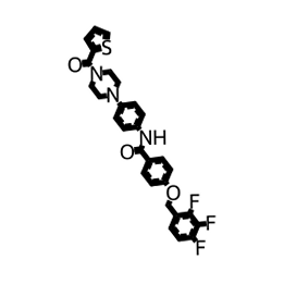 O=C(Nc1ccc(N2CCN(C(=O)c3cccs3)CC2)cc1)c1ccc(OCc2ccc(F)c(F)c2F)cc1